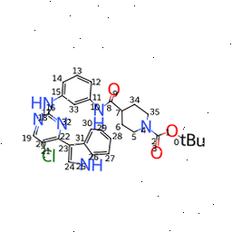 CC(C)(C)OC(=O)N1CCC(C(=O)Nc2cccc(Nc3ncc(Cl)c(-c4c[nH]c5ccccc45)n3)c2)CC1